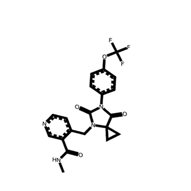 CNC(=O)c1cnccc1CN1C(=O)N(c2ccc(OC(F)(F)F)cc2)C(=O)C12CC2